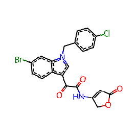 O=C1C=C(NC(=O)C(=O)c2cn(Cc3ccc(Cl)cc3)c3cc(Br)ccc23)CO1